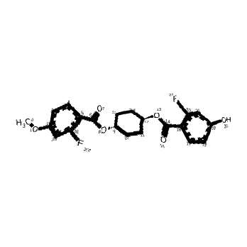 COc1ccc(C(=O)O[C@H]2CC[C@H](OC(=O)c3ccc(O)cc3F)CC2)c(F)c1